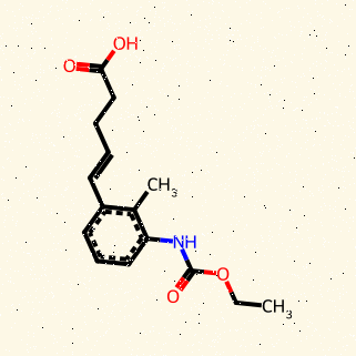 CCOC(=O)Nc1cccc(C=CCCC(=O)O)c1C